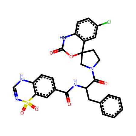 O=C1Nc2ccc(Cl)cc2C2(CCN(C(=O)C(Cc3ccccc3)NC(=O)c3ccc4c(c3)S(=O)(=O)N=CN4)C2)O1